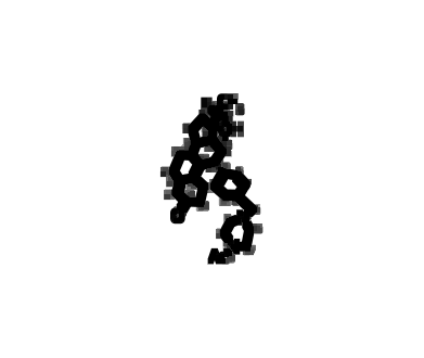 CC(=O)N1CCN(Cc2ccc([C@H]3C[C@@]4(C)C(CC[C@@]4(O)C(F)(F)C(F)(F)F)C4CCC5=CC(=O)CCC5=C43)cc2)CC1